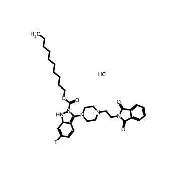 CCCCCCCCCCOC(=O)N1NC2C=C(F)C=CC2=C1N1CCN(CCN2C(=O)c3ccccc3C2=O)CC1.Cl